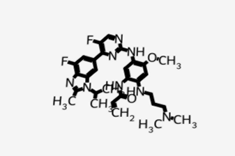 C=CC(=O)Nc1cc(Nc2ncc(F)c(-c3cc(F)c4nc(C)n(C(C)C)c4c3)n2)c(OC)cc1NCCCN(C)C